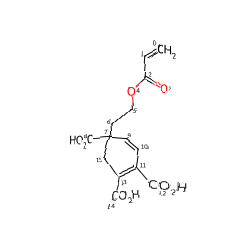 C=CC(=O)OCCC1(C(=O)O)C=CC(C(=O)O)=C(C(=O)O)C1